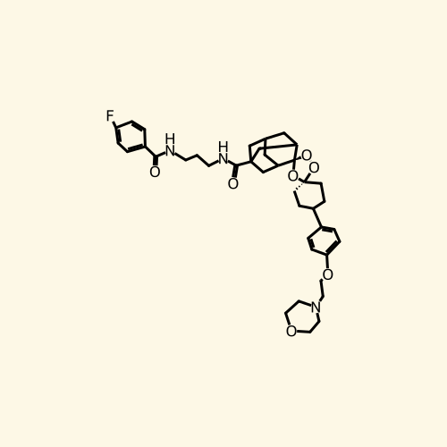 O=C(NCCCNC(=O)C12CC3CC(C1)[C@]1(OO[C@]4(CCC(c5ccc(OCCN6CCOCC6)cc5)CC4)O1)C(C3)C2)c1ccc(F)cc1